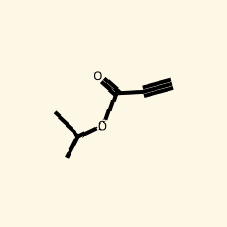 C#CC(=O)OC(C)C